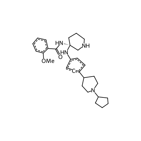 COc1ccccc1C(=O)N[C@]1(Nc2ccc(C3CCN(C4CCCC4)CC3)cc2)CCCNC1